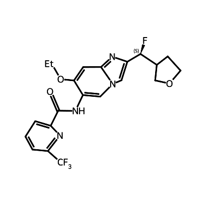 CCOc1cc2nc([C@@H](F)C3CCOC3)cn2cc1NC(=O)c1cccc(C(F)(F)F)n1